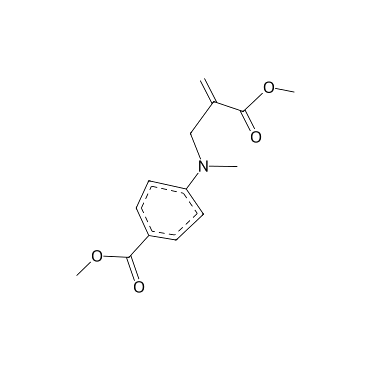 C=C(CN(C)c1ccc(C(=O)OC)cc1)C(=O)OC